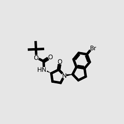 CC(C)(C)OC(=O)N[C@H]1CCN([C@@H]2CCc3cc(Br)ccc32)C1=O